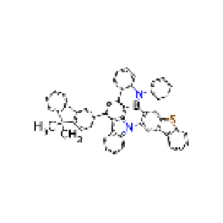 CC1(C)c2ccccc2-c2cc(-c3cc4c5c6c3c3ccccc3n6-c3cc6c(cc3B5N(c3ccccc3)c3ccccc3-4)sc3ccccc36)ccc21